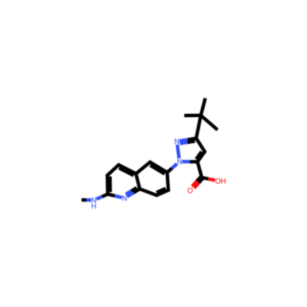 CNc1ccc2cc(-n3nc(C(C)(C)C)cc3C(=O)O)ccc2n1